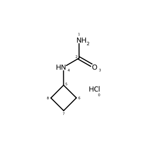 Cl.NC(=O)NC1CCC1